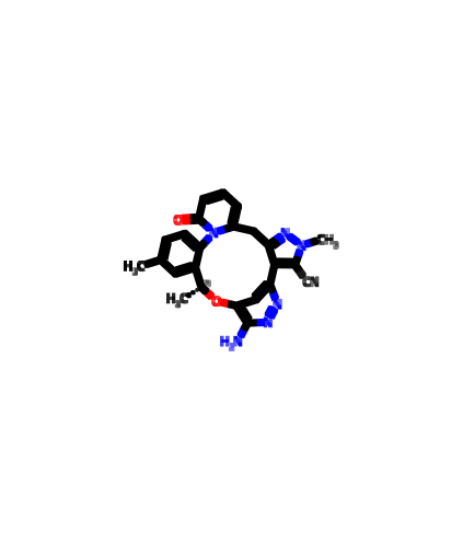 Cc1ccc2c(c1)[C@@H](C)Oc1cc(nnc1N)-c1c(nn(C)c1C#N)Cc1cccc(=O)n1-2